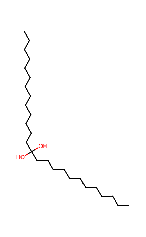 CCCCCCCCCCCCCC(O)(O)CCCCCCCCCCCC